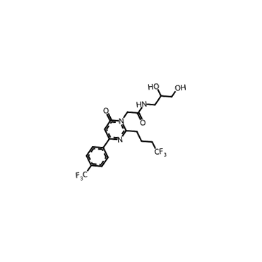 O=C(Cn1c(CCCC(F)(F)F)nc(-c2ccc(C(F)(F)F)cc2)cc1=O)NCC(O)CO